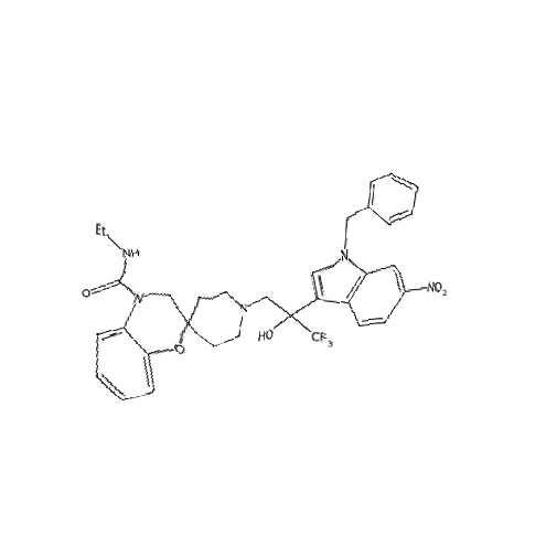 CCNC(=O)N1CC2(CCN(CC(O)(c3cn(Cc4ccccc4)c4cc([N+](=O)[O-])ccc34)C(F)(F)F)CC2)Oc2ccccc21